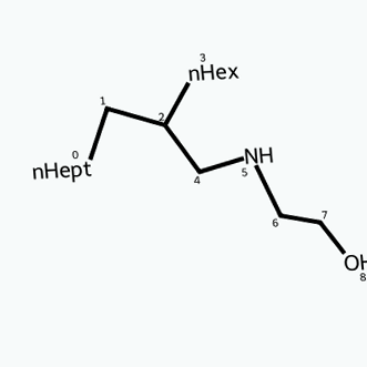 CCCCCCCCC(CCCCCC)CNCCO